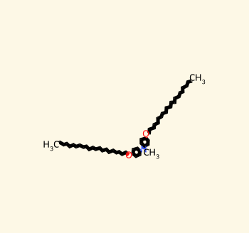 CCCCCCCCCCCCCCCCCCCCCCOC1CCC(N(C)C2CCC(OCCCCCCCCCCCCCCCCCCCCCC)CC2)CC1